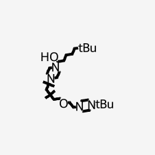 CC(C)(C)CCCCC(O)N1CCN(C(C)(C)CC(C)(C)CCOCCN2CCN(C(C)(C)C)CC2)CC1